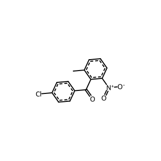 Cc1cccc([N+](=O)[O-])c1C(=O)c1ccc(Cl)cc1